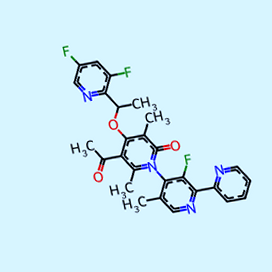 CC(=O)c1c(OC(C)c2ncc(F)cc2F)c(C)c(=O)n(-c2c(C)cnc(-c3ccccn3)c2F)c1C